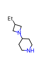 CCC1CN(C2CCNCC2)C1